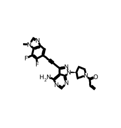 C=CC(=O)N1CC[C@H](n2nc(C#Cc3cc4ncn(C)c4c(F)c3F)c3c(N)ncnc32)C1